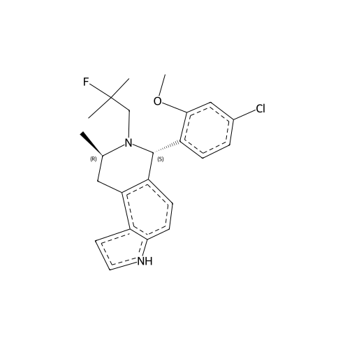 COc1cc(Cl)ccc1[C@@H]1c2ccc3[nH]ccc3c2C[C@@H](C)N1CC(C)(C)F